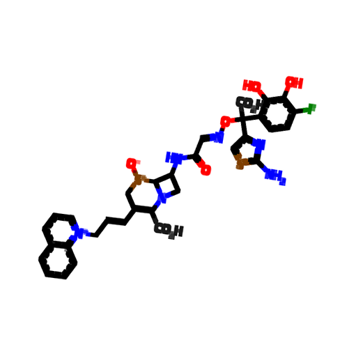 Nc1nc(C(ON=CC(=O)NC2CN3C(C(=O)O)=C(C=CC[n+]4cccc5ccccc54)C[S+]([O-])C23)(C(=O)O)c2ccc(F)c(O)c2O)cs1